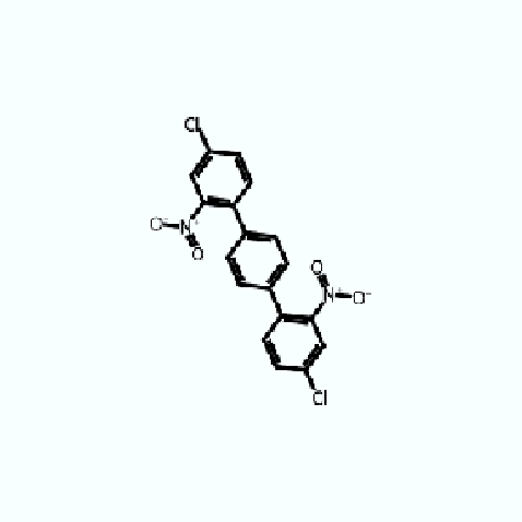 O=[N+]([O-])c1cc(Cl)ccc1-c1ccc(-c2ccc(Cl)cc2[N+](=O)[O-])cc1